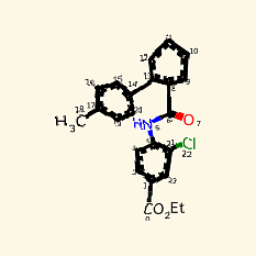 CCOC(=O)c1ccc(NC(=O)c2ccccc2-c2ccc(C)cc2)c(Cl)c1